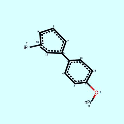 CCCOc1ccc(-c2cccc(C(C)C)c2)cc1